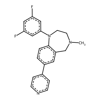 CN1CCN(c2cc(F)cc(F)c2)c2ccc(-c3ccncc3)cc2C1